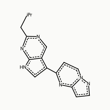 CC(C)Cc1ncc2c(-c3ccn4nccc4n3)c[nH]c2n1